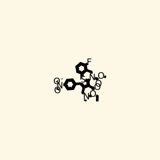 CCOC(=O)c1c(N(Cc2c(F)cccc2F)C(=O)OC)sc(-c2ccc([N+](=O)[O-])cc2)c1CN(C)C